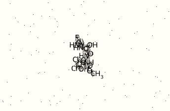 CCOC(=O)C[C@@H](NC(=O)CNC(=O)c1cc(O)cc(NC2=NCC(F)CN2)c1)c1cc(Cl)cc(Cl)c1O